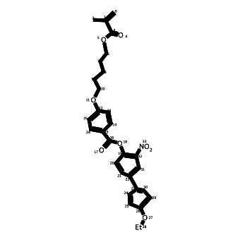 C=C(C)C(=O)OCCCCCOc1ccc(C(=O)Oc2ccc(-c3ccc(OCC)cc3)cc2[N+](=O)[O-])cc1